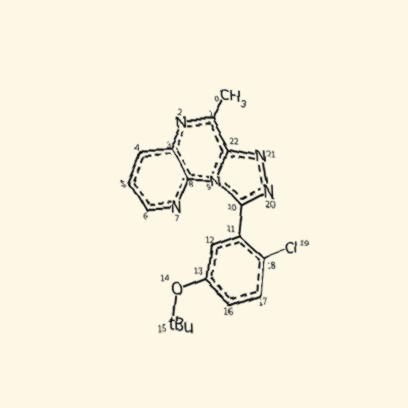 Cc1nc2cccnc2n2c(-c3cc(OC(C)(C)C)ccc3Cl)nnc12